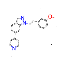 COc1cccc(C=Cn2ncc3ccc(-c4ccncc4)cc32)c1